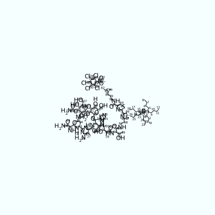 CCC[CH2][Sn]([CH2]CCC)([CH2]CCC)[O][Sn]([CH2]CCC)([CH2]CCC)[CH2]CCC.Cc1c(N)nc([C@H](CC(N)=O)NC[C@H](N)C(N)=O)nc1C(=O)N[C@H](C(=O)N[C@H](C)[C@@H](O)[C@H](C)C(=O)N[C@H](C(=O)NCCc1nc(-c2nc(C(=O)NCCC[S+](C)C)cs2)cs1)[C@@H](C)O)[C@@H](O[C@@H]1O[C@@H](CO)[C@@H](O)[C@H](O)[C@@H]1O[C@H]1O[C@H](CO)[C@@H](O)[C@H](OC(N)=O)[C@@H]1O)c1cnc[nH]1.O=[N+]([O-])c1c(Cl)c(Cl)c(Cl)c(Cl)c1Cl